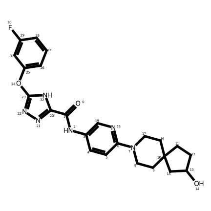 O=C(Nc1ccc(N2CCC3(CCC(O)C3)CC2)nc1)c1nnc(Oc2cccc(F)c2)[nH]1